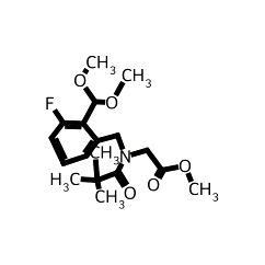 COC(=O)CN(Cc1cccc(F)c1C(OC)OC)C(=O)C(C)(C)C